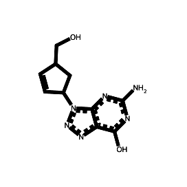 Nc1nc(O)c2nnn(C3C=CC(CO)C3)c2n1